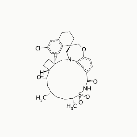 C[C@H]1CC[C@@H](C)S(=O)(=O)NC(=O)c2ccc3c(c2)N(C[C@@H]2CC[C@H]2C(=O)C1)C[C@@]1(CCCc2cc(Cl)ccc21)CO3